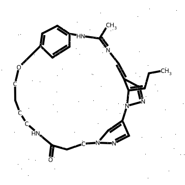 CC\C=c1/c2nnn1-c1cnn(c1)CCC(=O)NCCCCOc1ccc(cc1)N\C(C)=N\C=2